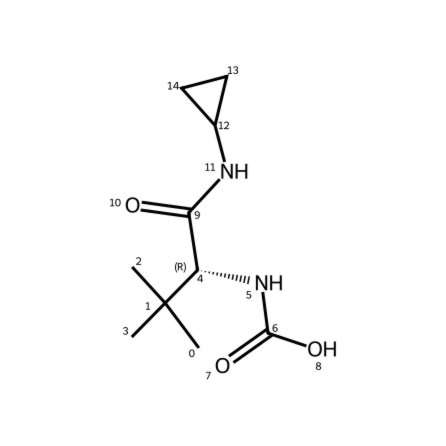 CC(C)(C)[C@@H](NC(=O)O)C(=O)NC1CC1